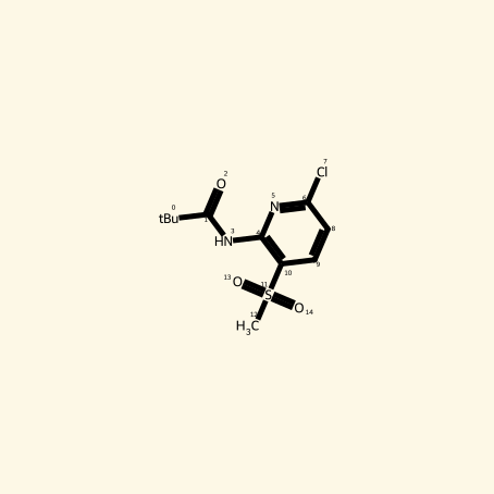 CC(C)(C)C(=O)Nc1nc(Cl)ccc1S(C)(=O)=O